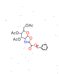 CC(=O)OCC1OC2OC(C(=O)OCc3ccccc3)=NC2C(OC(C)=O)C1OC(C)=O